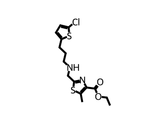 CCOC(=O)c1nc(CNCCCc2ccc(Cl)s2)sc1C